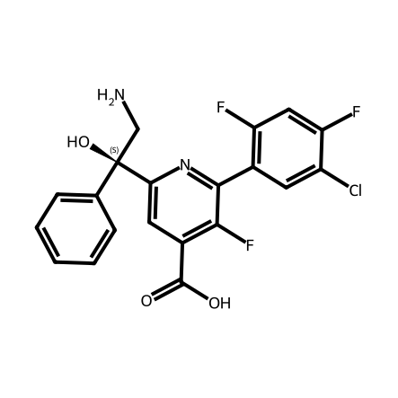 NC[C@@](O)(c1ccccc1)c1cc(C(=O)O)c(F)c(-c2cc(Cl)c(F)cc2F)n1